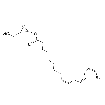 CC/C=C\C/C=C\C/C=C\CCCCCCCC(=O)OC1OC1CO